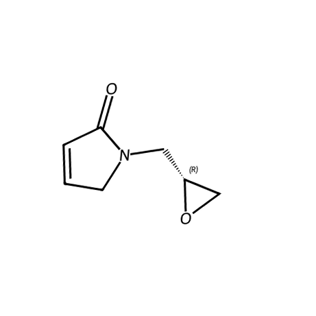 O=C1C=CCN1C[C@@H]1CO1